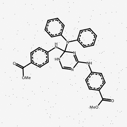 COC(=O)c1ccc(NC2=NC(Nc3ccc(C(=O)OC)cc3)(N(c3ccccc3)c3ccccc3)NC=N2)cc1